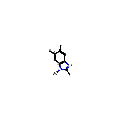 CC(=O)n1c(C)nc2cc(C)c(C)cc21